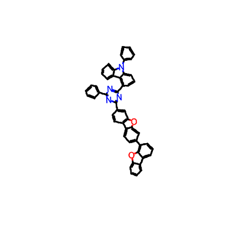 c1ccc(-c2nc(-c3ccc4c(c3)oc3cc(-c5cccc6c5oc5ccccc56)ccc34)nc(-c3cccc4c3c3ccccc3n4-c3ccccc3)n2)cc1